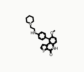 COc1ccc2[nH]c(=O)c3sccc3c2c1-c1ccc(NCCN2CCCCC2)cc1